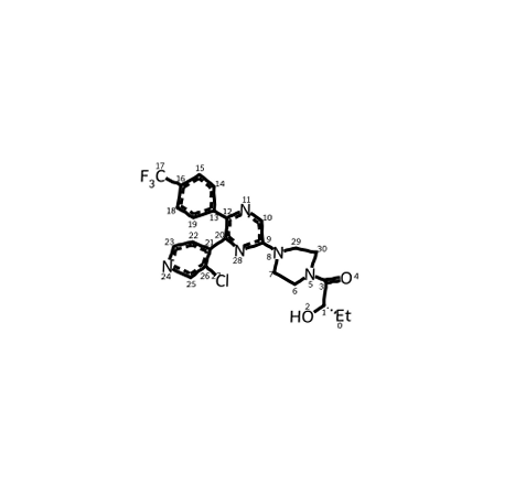 CC[C@H](O)C(=O)N1CCN(c2cnc(-c3ccc(C(F)(F)F)cc3)c(-c3ccncc3Cl)n2)CC1